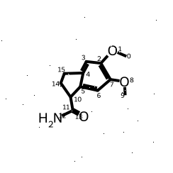 COc1cc2c(cc1OC)C(C(N)=O)[CH]C2